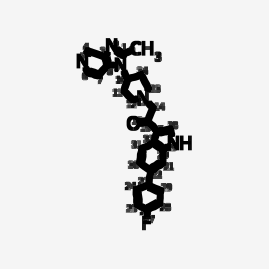 Cc1nc2cnccc2n1C1CCN(CC(=O)c2c[nH]c3cc(-c4ccc(F)cc4)ccc23)CC1